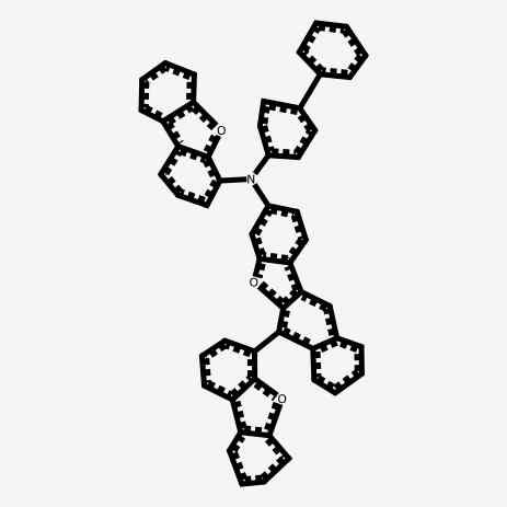 c1ccc(-c2ccc(N(c3ccc4c(c3)oc3c(-c5cccc6c5oc5ccccc56)c5ccccc5cc34)c3cccc4c3oc3ccccc34)cc2)cc1